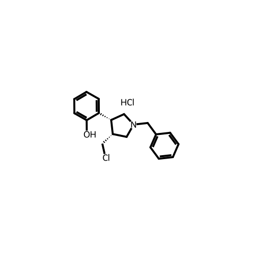 Cl.Oc1ccccc1[C@@H]1CN(Cc2ccccc2)C[C@@H]1CCl